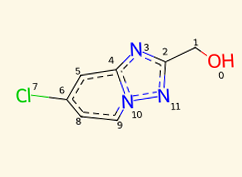 OCc1nc2cc(Cl)ccn2n1